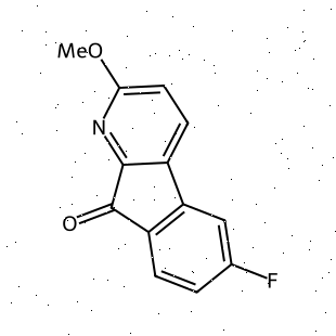 COc1ccc2c(n1)C(=O)c1ccc(F)cc1-2